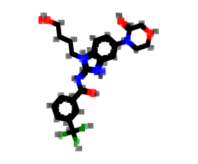 O=C(/N=c1\[nH]c2cc(N3CCOCC3=O)ccc2n1CCCCO)c1cccc(C(F)(F)F)c1